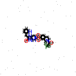 O=C1NC2(CCN(S(=O)(=O)c3ccc4c(c3)CN(C(=O)C(F)(F)F)CC4)CC2)NC1Cc1ccccc1